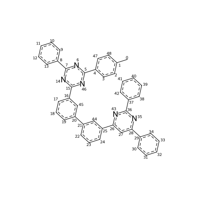 Cc1ccc(-c2nc(-c3ccccc3)nc(-c3cccc(-c4cccc(-c5cc(-c6ccccc6)nc(-c6ccccc6)n5)c4)c3)n2)cc1